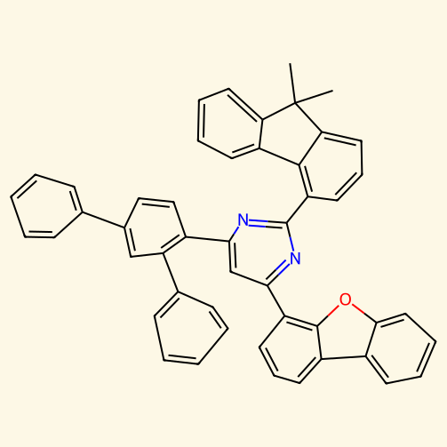 CC1(C)c2ccccc2-c2c(-c3nc(-c4ccc(-c5ccccc5)cc4-c4ccccc4)cc(-c4cccc5c4oc4ccccc45)n3)cccc21